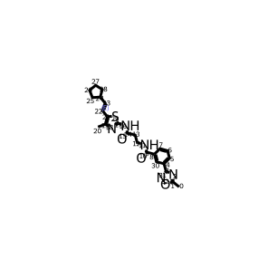 Cc1nc(-c2cccc(C(=O)NCCC(=O)Nc3nc(C)c(/C=C/C4CCCC4)s3)c2)no1